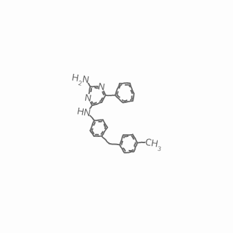 Cc1ccc(Cc2ccc(Nc3cc(-c4ccccc4)nc(N)n3)cc2)cc1